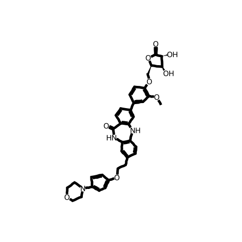 COc1cc(-c2ccc3c(c2)Nc2ccc(CCOc4ccc(N5CCOCC5)cc4)cc2NC3=O)ccc1OC[C@H]1OC(=O)[C@H](O)[C@H]1O